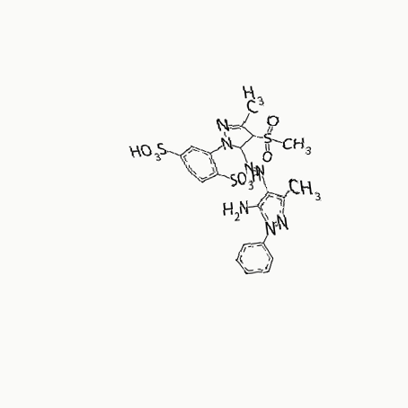 CC1=NN(c2cc(S(=O)(=O)O)ccc2S(=O)(=O)O)C(/N=N/c2c(C)nn(-c3ccccc3)c2N)C1S(C)(=O)=O